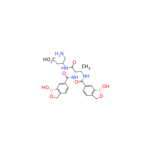 C[C@H](NC(=O)c1ccc2c(c1)B(O)OC2)[C@H](NC(=O)c1ccc2c(c1)B(O)OC2)C(=O)NC(CN)CC(=O)O